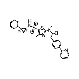 Cc1nc(N(C)C(=O)Cc2ccc(-c3ccccn3)cc2)sc1S(=O)(=O)N[C@@H]1C[C@H]1c1ccccc1